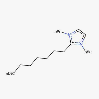 CCCCCCCCCCCCCCCCc1n(CCCC)cc[n+]1CCC